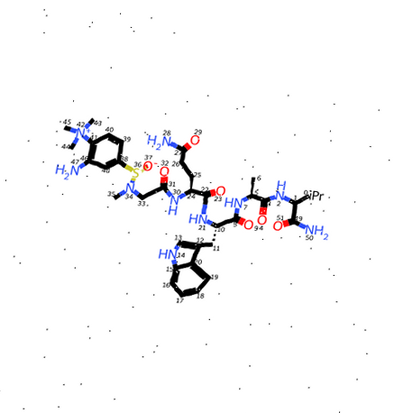 CC(C)C(NC(=O)[C@H](C)NC(=O)[C@H](Cc1c[nH]c2ccccc12)NC(=O)[C@H](CCC(N)=O)NC(=O)CN(C)[S+]([O-])c1ccc([N+](C)(C)C)c(N)c1)C(N)=O